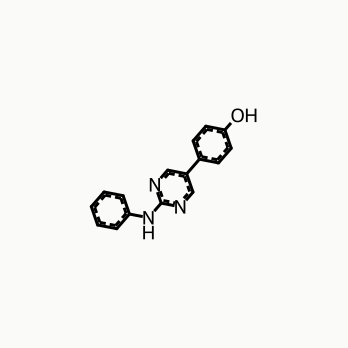 Oc1ccc(-c2cnc(Nc3ccccc3)nc2)cc1